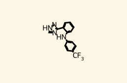 FC(F)(F)c1ccc(Nc2ccccc2-c2nc[nH]n2)cc1